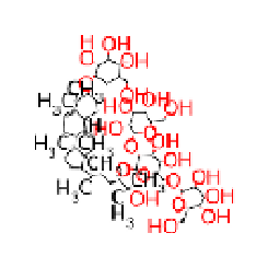 C[C@H](CC[C@@H](O[C@@H]1O[C@H](CO[C@@H]2O[C@H](CO)[C@@H](O)[C@H](O)[C@H]2O)[C@@H](O)[C@H](O)[C@H]1O[C@@H]1O[C@H](CO)[C@@H](O)[C@H](O)[C@H]1O)C(C)(C)O)[C@H]1CC[C@@]2(C)C3CC=C4[C@H](CC[C@H](O[C@@H]5C[C@H](CO)[C@@H](O)[C@H](O)[C@H]5O)C4(C)C)[C@]3(C)CC[C@]12C